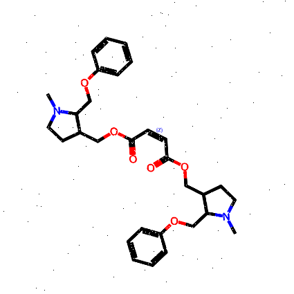 CN1CCC(COC(=O)/C=C\C(=O)OCC2CCN(C)C2COc2ccccc2)C1COc1ccccc1